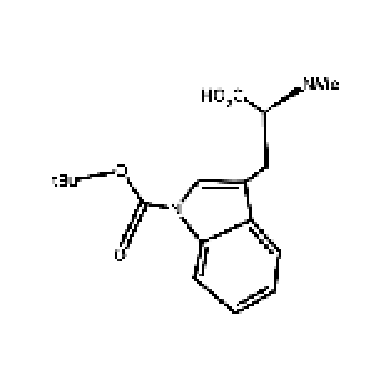 CN[C@@H](Cc1cn(C(=O)OC(C)(C)C)c2ccccc12)C(=O)O